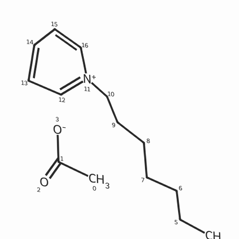 CC(=O)[O-].CCCCCCC[n+]1ccccc1